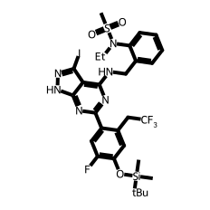 CCN(c1ccccc1CNc1nc(-c2cc(F)c(O[Si](C)(C)C(C)(C)C)cc2CC(F)(F)F)nc2[nH]nc(I)c12)S(C)(=O)=O